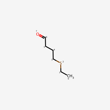 CCSCCC[C]=O